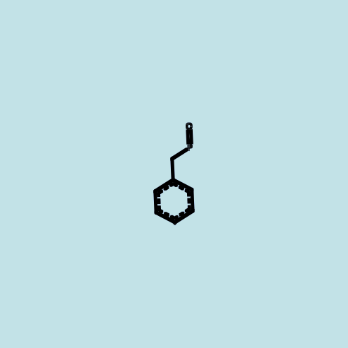 O=PCc1cc[c]cc1